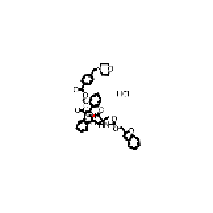 CC(NC(=O)C(C)(Cc1cn(C(=O)OCOC(=O)c2ccc(CN3CCOCC3)cc2)c2ccccc12)NC(=O)OCc1cc2ccccc2o1)c1ccccc1.Cl